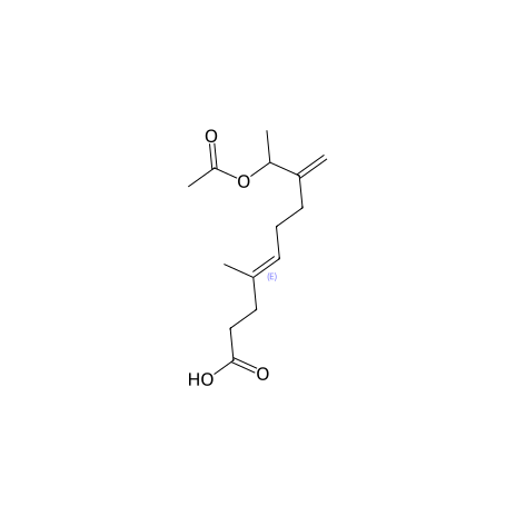 C=C(CC/C=C(\C)CCC(=O)O)C(C)OC(C)=O